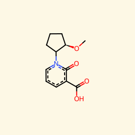 CO[C@@H]1CCCC1n1cccc(C(=O)O)c1=O